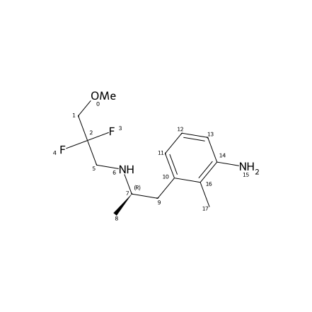 COCC(F)(F)CN[C@H](C)Cc1cccc(N)c1C